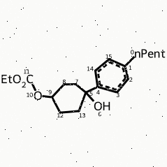 CCCCCc1ccc(C2(O)CCC(OC(=O)OCC)CC2)cc1